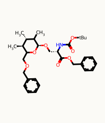 CC1[C@@H](OC[C@H](NC(=O)OC(C)(C)C)C(=O)OCc2ccccc2)OC(COCc2ccccc2)[C@@H](C)[C@@H]1C